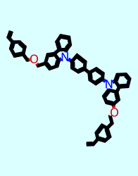 C=Cc1ccc(CCOc2ccc3c(c2)c2ccccc2n3-c2ccc(-c3ccc(-n4c5ccccc5c5cc(COCc6ccc(C=C)cc6)ccc54)cc3)cc2)cc1